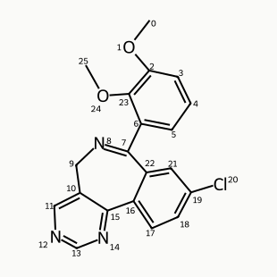 COc1cccc(C2=NCc3cncnc3-c3ccc(Cl)cc32)c1OC